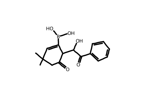 CC1(C)C=C(B(O)O)C(C(O)C(=O)c2ccccc2)C(=O)C1